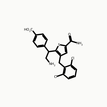 NCC(c1ccc(C(=O)O)cc1)c1sc(C(N)=O)cc1Cc1c(Cl)cccc1Cl